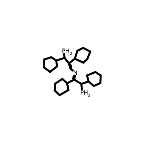 PC(/C(=C/N=C(\C1CCCCC1)C(P)C1CCCCC1)C1CCCCC1)C1CCCCC1